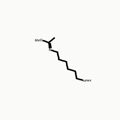 CCCCCCCCCCCCN=C(C)OC